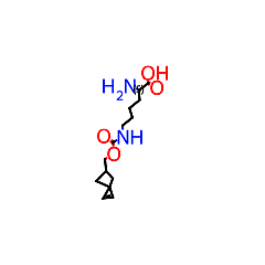 N[C@@H](CCCCNC(=O)OCC1CC2(C=C2)C1)C(=O)O